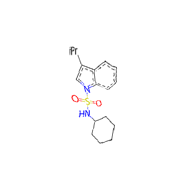 CC(C)c1cn(S(=O)(=O)NC2CCCCC2)c2ccccc12